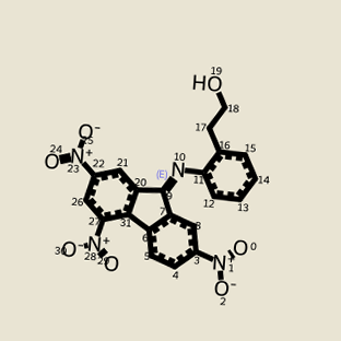 O=[N+]([O-])c1ccc2c(c1)/C(=N\c1ccccc1CCO)c1cc([N+](=O)[O-])cc([N+](=O)[O-])c1-2